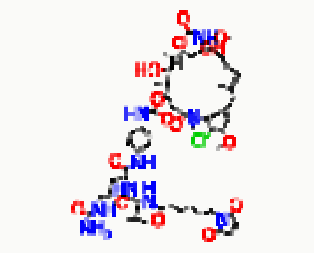 COc1cc2cc(c1Cl)N(C)C(=O)C[C@H](OC(=O)Nc1ccc(NC(=O)[C@H](CCCNC(N)=O)NC(=O)[C@@H](NC(=O)CCCCCN3C(=O)C=CC3=O)C(C)C)cc1)[C@@H](C)[C@@H](O)[C@H](C)[C@@H]1C[C@@](O)(NC(=O)O1)[C@H](OC)/C=C/C=C(\C)C2